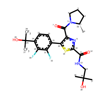 C[C@H]1CCCN1C(=O)c1nc(C(=O)NCC(C)(C)O)sc1-c1ccc(C(O)(C(F)(F)F)C(F)(F)F)c(F)c1F